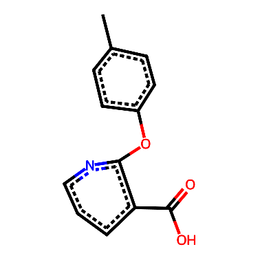 Cc1ccc(Oc2ncccc2C(=O)O)cc1